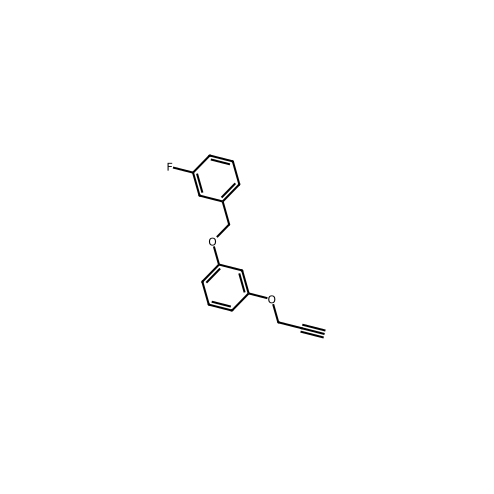 C#CCOc1cccc(OCc2cccc(F)c2)c1